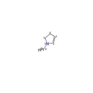 [CH2]CCN1C=CCC1